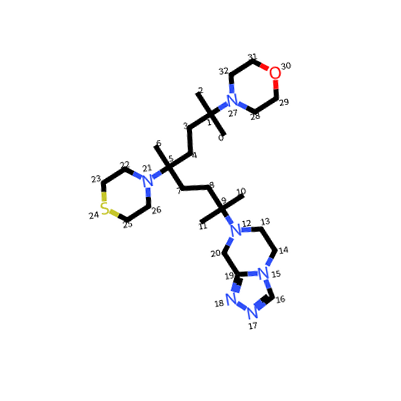 CC(C)(CCC(C)(CCC(C)(C)N1CCn2cnnc2C1)N1CCSCC1)N1CCOCC1